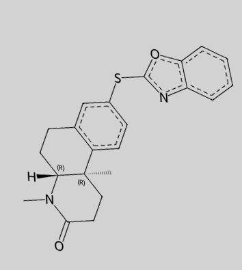 CN1C(=O)CC[C@]2(C)c3ccc(Sc4nc5ccccc5o4)cc3CC[C@@H]12